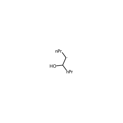 CCC[CH]C(O)CCC